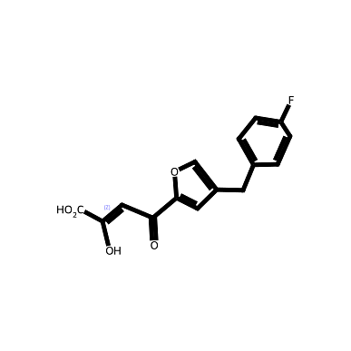 O=C(O)/C(O)=C/C(=O)c1cc(Cc2ccc(F)cc2)co1